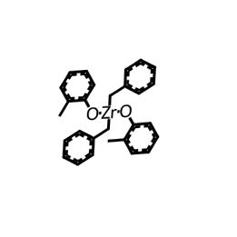 Cc1ccccc1[O][Zr]([CH2]c1ccccc1)([CH2]c1ccccc1)[O]c1ccccc1C